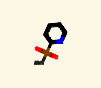 CNS(=O)(=O)c1ccccn1